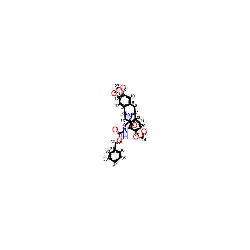 O=C(NCC(=O)N1C2Cc3cc4c(cc3C1Cc1cc3c(cc12)OCO3)OCO4)OCc1ccccc1